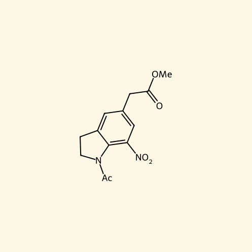 COC(=O)Cc1cc2c(c([N+](=O)[O-])c1)N(C(C)=O)CC2